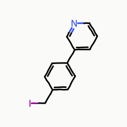 ICc1ccc(-c2cccnc2)cc1